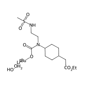 CCOC(=O)CC1CCC(N(CCNS(C)(=O)=O)C(=O)OC(C)(C)C)CC1.O.[Li+].[OH-]